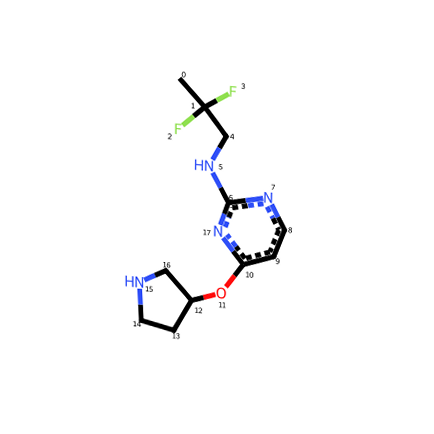 CC(F)(F)CNc1nccc(OC2CCNC2)n1